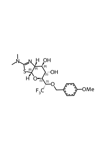 COc1ccc(CO[C@@H]([C@H]2O[C@@H]3SC(N(C)C)=N[C@@H]3[C@@H](O)[C@@H]2O)C(F)(F)F)cc1